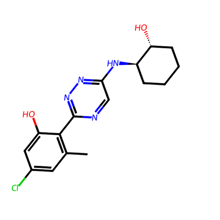 Cc1cc(Cl)cc(O)c1-c1ncc(N[C@@H]2CCCC[C@H]2O)nn1